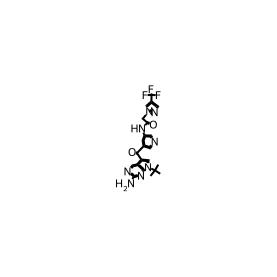 CC(C)(C)n1cc(C(=O)c2cncc(NC(=O)Cn3cc(C(F)(F)F)cn3)c2)c2cnc(N)nc21